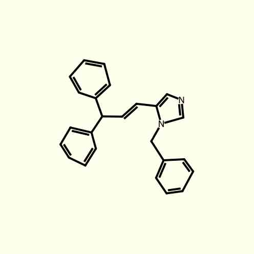 C(=CC(c1ccccc1)c1ccccc1)c1cncn1Cc1ccccc1